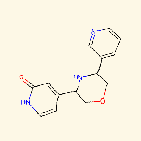 O=c1cc(C2COCC(c3cccnc3)N2)cc[nH]1